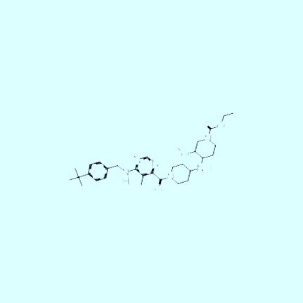 CCOC(=O)N1CCC(NC2CCN(C(=O)c3ncnc(NCc4ccc(C(C)(C)C)cc4)c3C)CC2)C(OC)C1